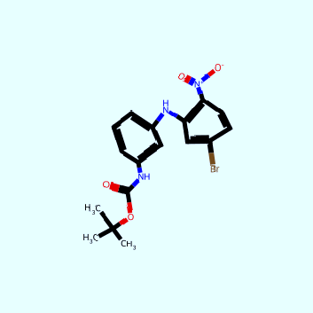 CC(C)(C)OC(=O)Nc1cccc(Nc2cc(Br)ccc2[N+](=O)[O-])c1